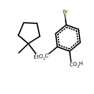 CC1(C)CCCC1.CCOC(=O)c1cc(Br)ccc1C(=O)O